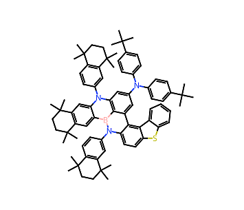 CC(C)(C)c1ccc(N(c2ccc(C(C)(C)C)cc2)c2cc3c4c(c2)N(c2ccc5c(c2)C(C)(C)CCC5(C)C)c2cc5c(cc2B4N(c2ccc4c(c2)C(C)(C)CCC4(C)C)c2ccc4sc6ccccc6c4c2-3)C(C)(C)CCC5(C)C)cc1